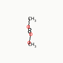 CCCCCCCOc1ccc2cc(OCCCCCCOC)ccc2c1